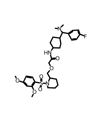 COc1ccc(S(=O)(=O)N2CCCCC2COCC(=O)NC2CCC(C(c3ccc(F)cc3)N(C)C)CC2)c(OC)c1